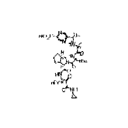 CCC[C@H](NC(=O)[C@@H]1C2CCC[C@H]2CN1C(=O)[C@@H](NC(=O)[C@H](C)NC(O)c1cnc(C(=O)O)cn1)C(C)(C)C)C(=O)C(=O)NC1CC1